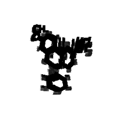 COc1ccc2c(c1)C[C@@H](c1ccccc1)N1CCN(C)C[C@H]21.Cl.Cl